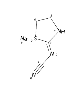 N#CN=C1NCCS1.[Na]